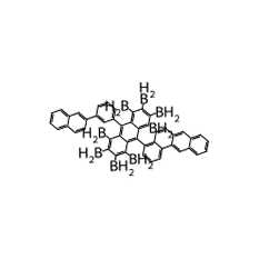 Bc1c(B)c(B)c2c(-c3cccc4c3ccc3cc5ccccc5cc34)c3c(B)c(B)c(B)c(B)c3c(-c3cccc(-c4ccc5ccccc5c4)c3)c2c1B